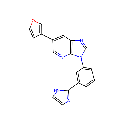 c1cc(-c2ncc[nH]2)cc(-n2cnc3cc(-c4ccoc4)cnc32)c1